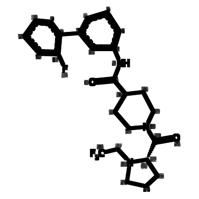 O=C(Nc1cccc(-c2ccccc2F)c1)C1CCN(C(=O)[C@@H]2CCCN2CC(F)(F)F)CC1